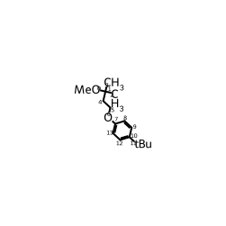 COC(C)(C)CCOc1ccc(C(C)(C)C)cc1